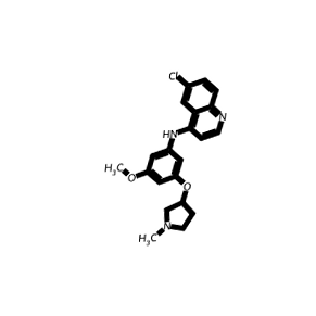 COc1cc(Nc2ccnc3ccc(Cl)cc23)cc(OC2CCN(C)C2)c1